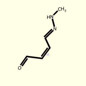 CNN=C/C=C\C=O